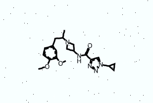 COc1ccc(CC(C)N2CC(NC(=O)c3cn(C4CC4)nn3)C2)cc1OC